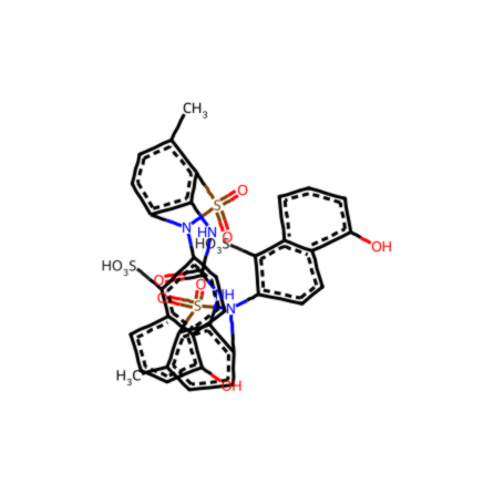 Cc1ccc2c(NC(=O)Nc3c4ccc(C)c3S(=O)(=O)N4c3ccc4c(O)cccc4c3S(=O)(=O)O)c1S(=O)(=O)N2c1ccc2c(O)cccc2c1S(=O)(=O)O